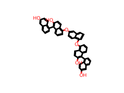 Oc1ccc2c(-c3c(O)ccc4c(Oc5ccc6c(Oc7cccc8c(-c9cccc%10cc(O)ccc9%10)c(O)ccc78)cccc6c5)cccc34)cccc2c1